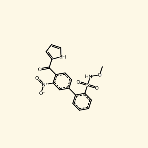 CONS(=O)(=O)c1ccccc1-c1ccc(C(=O)C2=CC=CB2)c([N+](=O)[O-])c1